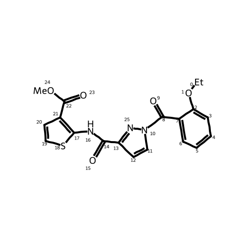 CCOc1ccccc1C(=O)n1ccc(C(=O)Nc2sccc2C(=O)OC)n1